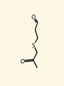 CC(=O)CSCCC=O